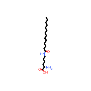 CCCCCCCCC=CCCCC(=O)NCCCC[C@H](N)C(=O)O